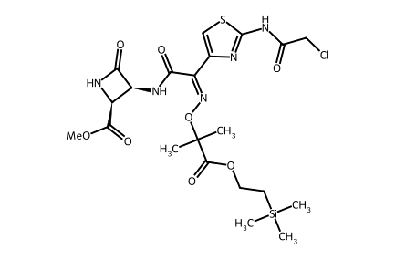 COC(=O)[C@H]1NC(=O)[C@H]1NC(=O)C(=NOC(C)(C)C(=O)OCC[Si](C)(C)C)c1csc(NC(=O)CCl)n1